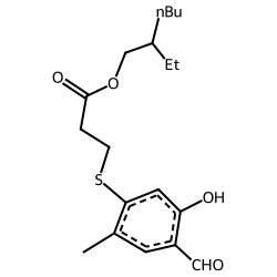 CCCCC(CC)COC(=O)CCSc1cc(O)c(C=O)cc1C